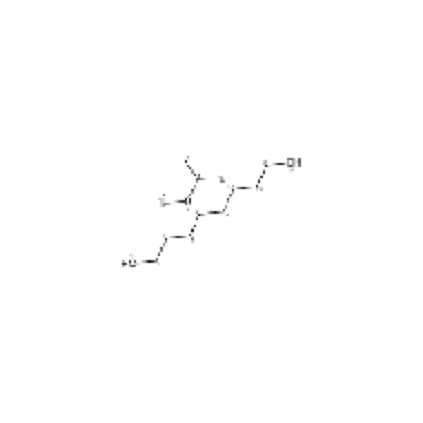 CC(C)[O][Ti].OCCCCCCCCO